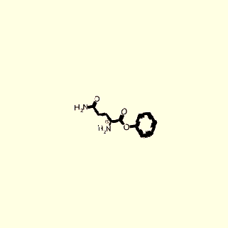 NC(=O)CC[C@H](N)C(=O)Oc1ccccc1